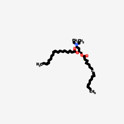 CC/C=C\CCCC/C=C\CCCCCCCC(=O)OC[C@H](CCN(CC)CC)OC(=O)CCCCCCC/C=C\CCCC/C=C\CC